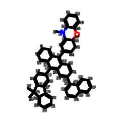 CN1C2=CC(c3c4ccccc4c(-c4ccc5c(c4)-c4ccccc4C5(C)C)c4cc(-c5cccc6ccccc56)ccc34)=CCC2Oc2ccccc21